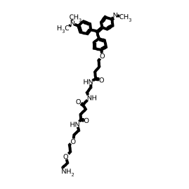 CN=C1C=CC(=C(c2ccc(OCCCC(=O)NCCNC(=O)CCC(=O)NCCOCCOCCN)cc2)c2ccc(N(C)C)cc2)C=C1